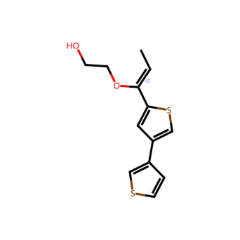 C/C=C(\OCCO)c1cc(-c2ccsc2)cs1